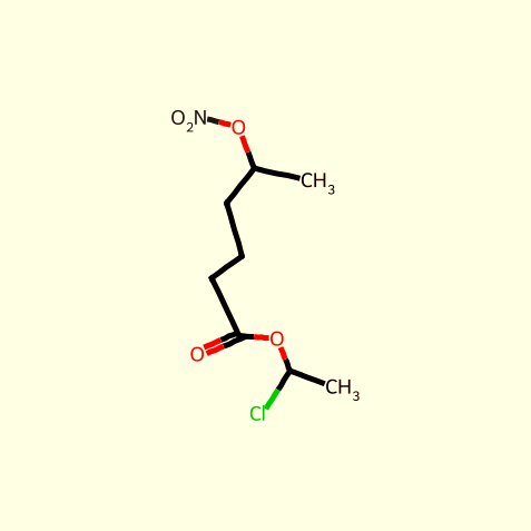 CC(Cl)OC(=O)CCCC(C)O[N+](=O)[O-]